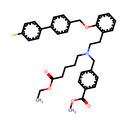 CCOC(=O)CCCCN(CCc1ccccc1OCc1ccc(-c2ccc(F)cc2)cc1)Cc1ccc(C(=O)OC)cc1